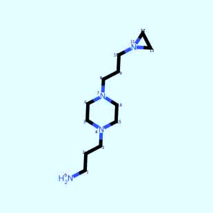 NCCCN1CCN(CCCN2CC2)CC1